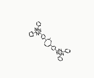 Cc1ccc(-c2ccc(-c3nc(-c4ccccc4)nc(-c4ccccc4)n3)cc2)ccccc(-c2ccc(-c3nc(-c4ccccc4)nc(-c4ccccc4)n3)cc2)c1